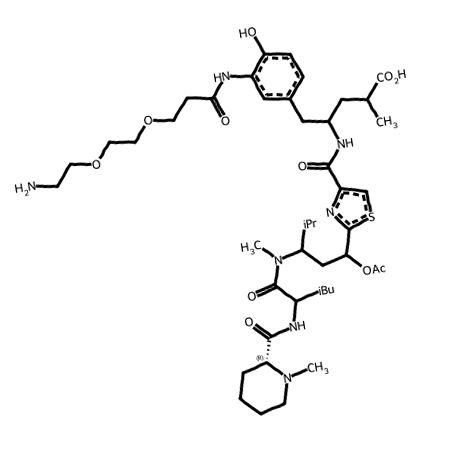 CCC(C)C(NC(=O)[C@H]1CCCCN1C)C(=O)N(C)C(CC(OC(C)=O)c1nc(C(=O)NC(Cc2ccc(O)c(NC(=O)CCOCCOCCN)c2)CC(C)C(=O)O)cs1)C(C)C